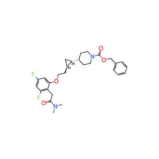 CN(C)C(=O)Cc1c(F)cc(F)cc1OCC[C@H]1C[C@@H]1C1CCN(C(=O)OCc2ccccc2)CC1